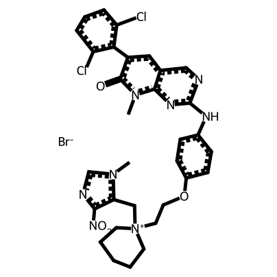 Cn1cnc([N+](=O)[O-])c1C[N+]1(CCOc2ccc(Nc3ncc4cc(-c5c(Cl)cccc5Cl)c(=O)n(C)c4n3)cc2)CCCCC1.[Br-]